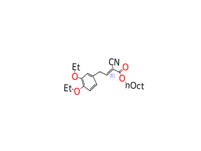 CCCCCCCCOC(=O)/C(C#N)=C/Cc1ccc(OCC)c(OCC)c1